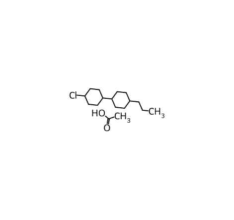 CC(=O)O.CCCC1CCC(C2CCC(Cl)CC2)CC1